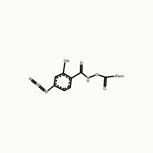 CCCCCC(=O)ONC(=O)c1ccc(N=[N+]=[N-])cc1O